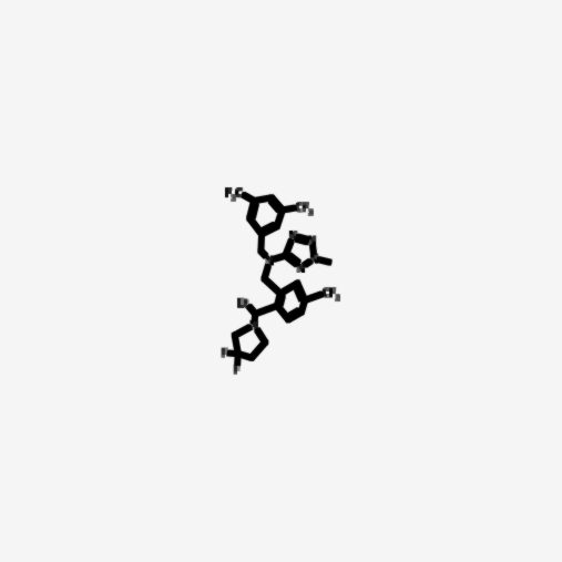 CCC(c1ccc(C(F)(F)F)cc1CN(Cc1cc(C(F)(F)F)cc(C(F)(F)F)c1)c1nnn(C)n1)N1CCC(F)(F)C1